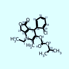 CCN1C(C)=C(OC(=O)OC(C)C)C(c2ccccc2Cl)C2=C1COC2=O